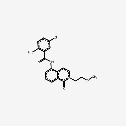 COCCn1ccc2c(NC(=O)c3cc(Cl)ccc3C)cccc2c1=O